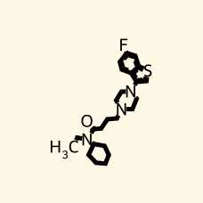 CCN(C(=O)CCCN1CCN(c2csc3cc(F)ccc23)CC1)C1CCCCC1